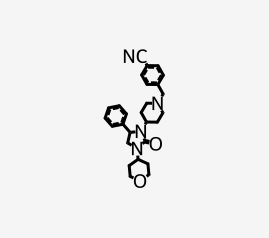 N#Cc1ccc(CN2CCC(N3C(=O)N(C4CCOCC4)CC3c3ccccc3)CC2)cc1